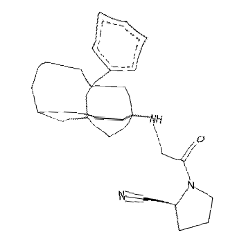 N#C[C@@H]1CCCN1C(=O)CNC12CC3CC1CCCC3(c1ccccc1)C2